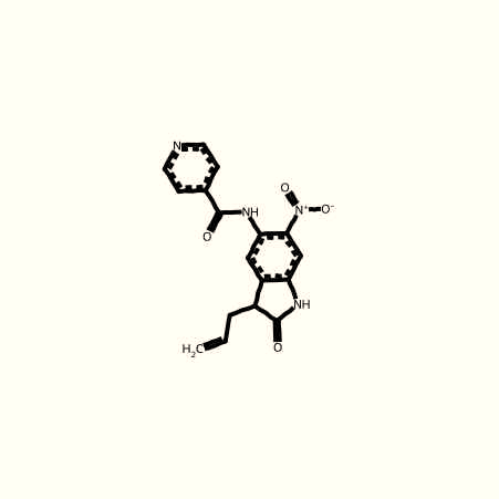 C=CCC1C(=O)Nc2cc([N+](=O)[O-])c(NC(=O)c3ccncc3)cc21